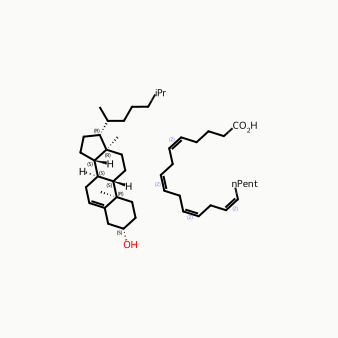 CC(C)CCCC(C)[C@H]1CC[C@H]2[C@@H]3CC=C4C[C@@H](O)CC[C@]4(C)[C@H]3CC[C@]12C.CCCCC/C=C\C/C=C\C/C=C\C/C=C\CCCC(=O)O